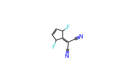 N#CC(C#N)=C1C(F)C=CC1F